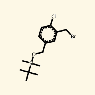 CC(C)(C)[Si](C)(C)OCc1ccc(Cl)c(CBr)c1